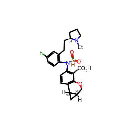 CCN1CCC[C@@H]1CCc1cc(F)ccc1N(c1ccc2c(c1C(=O)O)OC[C@@H]1C[C@H]21)[SH](=O)=O